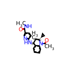 CNC(=O)c1ccc(N[C@H]2c3ccccc3N(C(C)=O)[C@@H](C3CC3)[C@@H]2C)nc1